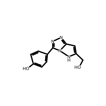 OCc1cc2nnc(-c3ccc(O)cc3)n2[nH]1